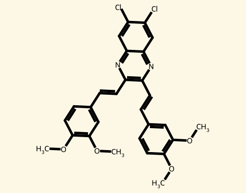 COc1ccc(C=Cc2nc3cc(Cl)c(Cl)cc3nc2C=Cc2ccc(OC)c(OC)c2)cc1OC